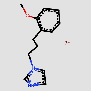 COc1ccccc1CCC[n+]1cc[nH]c1.[Br-]